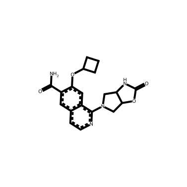 NC(=O)c1cc2ccnc(N3CC4NC(=O)OC4C3)c2cc1OC1CCC1